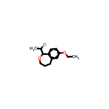 CCOc1ccc2c(c1)CCCOC2C(C)Cl